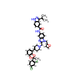 C=C(C)c1n[nH]c2ccc(C(=O)Nc3ccc4c(c3)nc(CN3CC=C(c5cccc6c5OC(C)(c5ccc(Cl)cc5F)O6)CC3)n4CC3CCO3)cc12